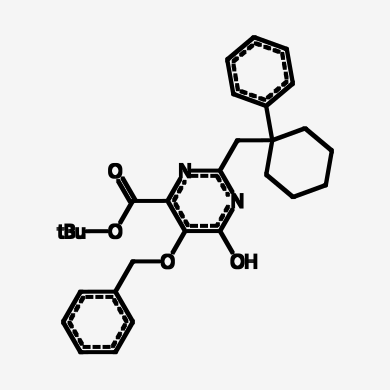 CC(C)(C)OC(=O)c1nc(CC2(c3ccccc3)CCCCC2)nc(O)c1OCc1ccccc1